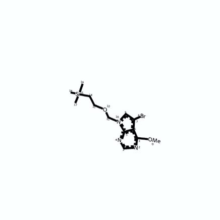 COc1ncnc2c1c(Br)cn2COCC[Si](C)(C)C